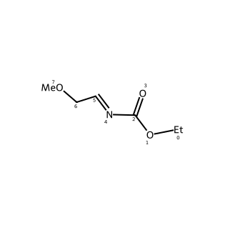 CCOC(=O)N=CCOC